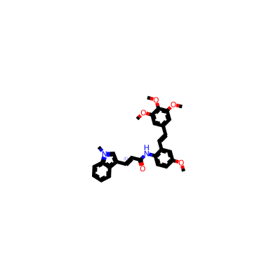 COc1ccc(NC(=O)/C=C/c2cn(C)c3ccccc23)c(C=Cc2cc(OC)c(OC)c(OC)c2)c1